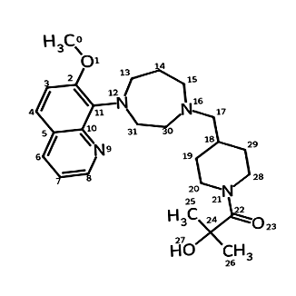 COc1ccc2cccnc2c1N1CCCN(CC2CCN(C(=O)C(C)(C)O)CC2)CC1